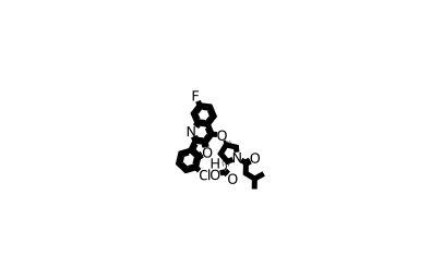 CC(C)CC(=O)N1C[C@H](Oc2c3ccc(F)cc3nc3c2oc2c(Cl)cccc23)C[C@H]1C(=O)O